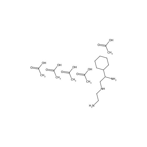 CC(=O)O.CC(=O)O.CC(=O)O.CC(=O)O.CC(=O)O.NCCNCC(N)C1CCCCC1